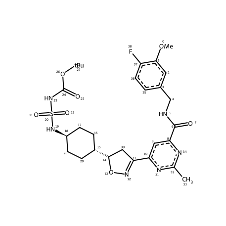 COc1cc(CNC(=O)c2cc(C3=NOC([C@H]4CC[C@H](NS(=O)(=O)NC(=O)OC(C)(C)C)CC4)C3)nc(C)n2)ccc1F